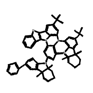 CC(C)(C)c1cc2c3c(c1)C1(C)CCCCC1(C)N3c1cc(N3c4ccc(-c5ccccc5)cc4C4(C)CCCCC34C)cc3c1B2c1cc(C(C)(C)C)cc2c4oc5ccccc5c4n-3c12